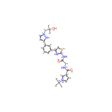 CC(C)(O)Cn1ccc(-c2cccc(-c3csc(NC(=O)CNC(=O)c4ccn(C(C)(C)C)c4)n3)c2)n1